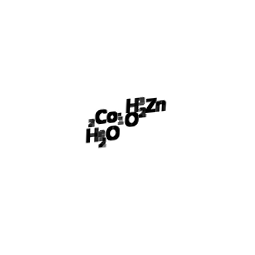 O.O.[Co].[Zn]